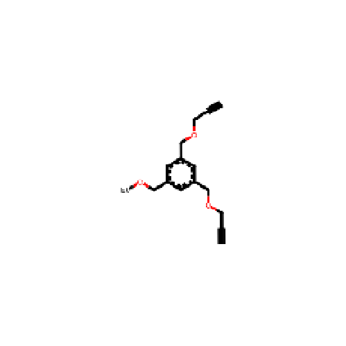 C#CCOCc1cc(COCC)cc(COCC#C)c1